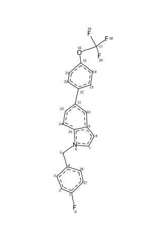 Fc1ccc(Cn2ccc3cc(-c4ccc(OC(F)(F)F)cc4)ccc32)cc1